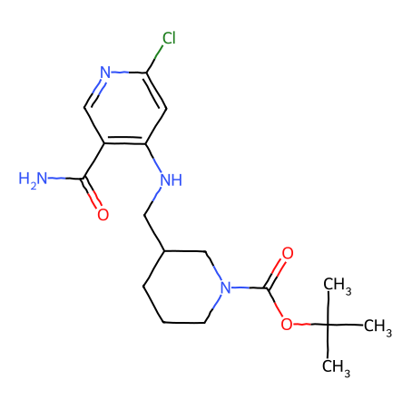 CC(C)(C)OC(=O)N1CCCC(CNc2cc(Cl)ncc2C(N)=O)C1